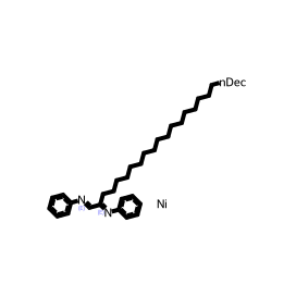 CCCCCCCCCCCCCCCCCCCCCCCCCCCC(/C=N/c1ccccc1)=N\c1ccccc1.[Ni]